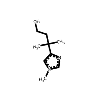 Cn1cnc(C(C)(C)CCO)c1